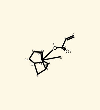 C=CC(=O)OC1(C)C=C2CC3CC(CC23)C1